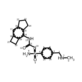 CNCc1ccc(S(N)(=O)=NC(=O)Nc2c3c(cc4c2CC4)CCC3)cc1